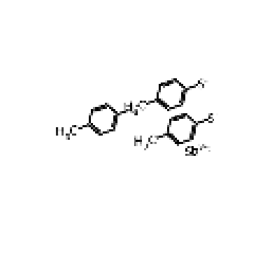 Cc1ccc([S-])cc1.Cc1ccc([S-])cc1.Cc1ccc([S-])cc1.[Sb+3]